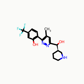 Cc1cc(C(O)[C@@H]2CCCNC2)nnc1-c1ccc(C(F)(F)F)cc1O